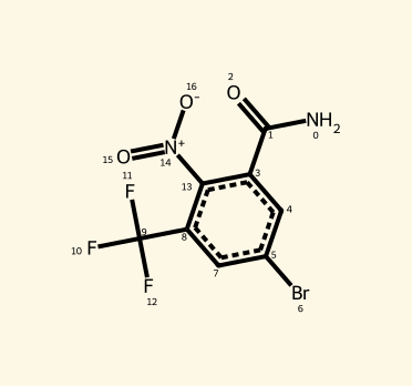 NC(=O)c1cc(Br)cc(C(F)(F)F)c1[N+](=O)[O-]